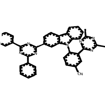 Cc1nc(C)nc(-c2cc(C#N)ccc2-n2c3ccccc3c3ccc(-c4nc(-c5ccccc5)nc(-c5ccccc5)n4)cc32)n1